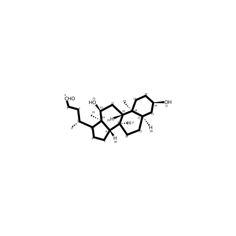 C[C@H](CCC=O)C1CC[C@H]2[C@@H]3CC[C@@H]4C[C@H](O)CC[C@]4(C)[C@H]3C[C@H](O)[C@]12C